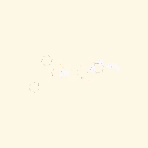 C[C@H](N[P@](=O)(OC[C@@]1(C(F)F)O[C@@H](n2ccc(N)nc2=O)[C@H](O)[C@@H]1O)Oc1ccccc1)C(=O)OCc1ccccc1